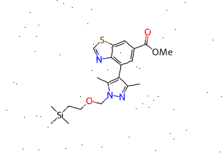 COC(=O)c1cc(-c2c(C)nn(COCC[Si](C)(C)C)c2C)c2ncsc2c1